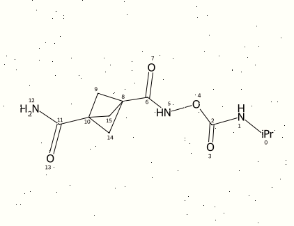 CC(C)NC(=O)ONC(=O)C12CC(C(N)=O)(C1)C2